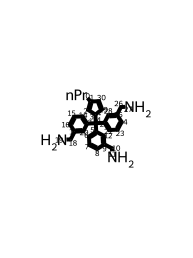 CCCC1=C[C](C(c2cccc(CN)c2)(c2cccc(CN)c2)c2cccc(CN)c2)C=C1